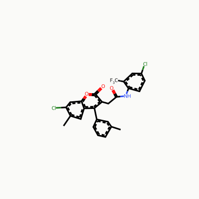 Cc1cccc(-c2c(CC(=O)Nc3ccc(Cl)cc3C(F)(F)F)c(=O)oc3cc(Cl)c(C)cc23)c1